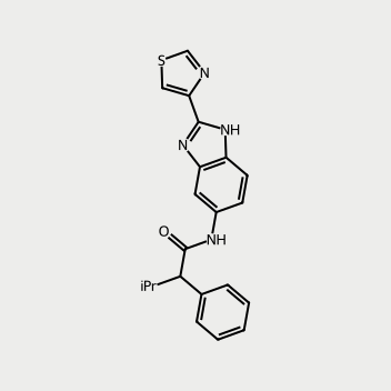 CC(C)C(C(=O)Nc1ccc2[nH]c(-c3cscn3)nc2c1)c1ccccc1